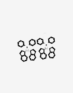 C1=C[CH]([Zr+]([CH]2C=Cc3ccccc32)[SiH](c2ccccc2)c2ccccc2)c2ccccc21.C1=C[CH]([Zr+]([CH]2C=Cc3ccccc32)[SiH](c2ccccc2)c2ccccc2)c2ccccc21.[Cl-].[H-]